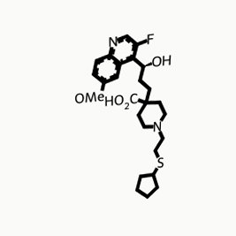 COc1ccc2ncc(F)c([C@@H](O)CCC3(C(=O)O)CCN(CCSC4CCCC4)CC3)c2c1